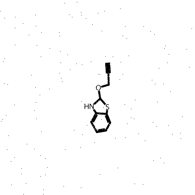 C#CCOC1Nc2ccccc2S1